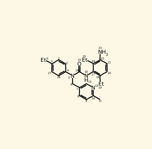 CCc1ccc(N(Cc2ccc(C)nc2)C(=O)Nc2c(CC)ccc(N)c2CC)cc1